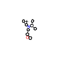 CC1(C)c2ccccc2-c2ccc(N(C3=CC(c4ccccc4)CC(c4ccccc4)=C3)c3ccc(-c4ccc5oc6ccccc6c5c4)cc3)cc21